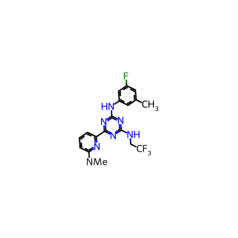 CNc1cccc(-c2nc(NCC(F)(F)F)nc(Nc3cc(C)cc(F)c3)n2)n1